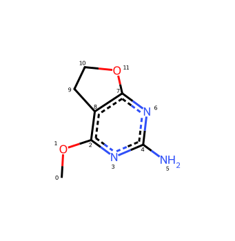 COc1nc(N)nc2c1CCO2